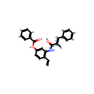 C=Cc1ccc(OC(=O)c2ccccc2)cc1NC(=O)/C(C)=C/c1ccccc1